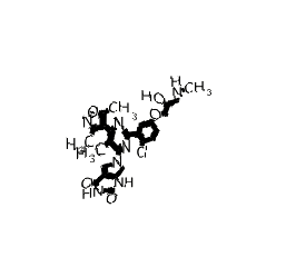 CNC[C@@H](O)COc1ccc(Cl)c(-c2nc(-c3c(C)noc3C)c(C)c(N3Cc4[nH]c(=O)[nH]c(=O)c4C3)n2)c1